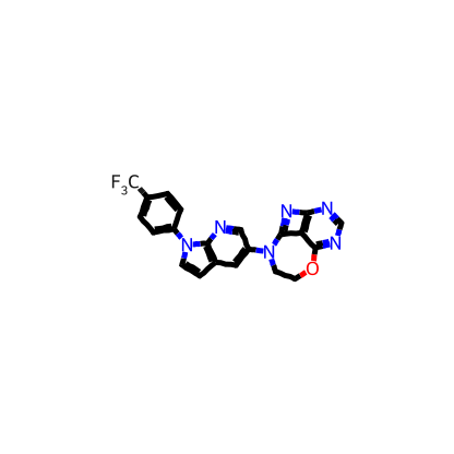 FC(F)(F)c1ccc(-n2ccc3cc(N4CCOc5ncnc6c5C4=N6)cnc32)cc1